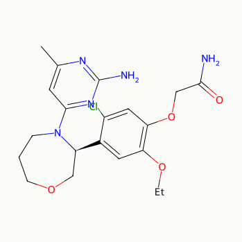 CCOc1cc([C@H]2COCCCN2c2cc(C)nc(N)n2)c(Cl)cc1OCC(N)=O